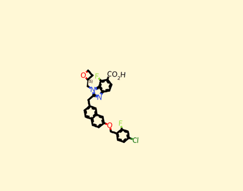 O=C(O)c1ccc2nc(Cc3ccc4ccc(OCc5ccc(Cl)cc5F)cc4c3)n(C[C@@H]3CCO3)c2c1F